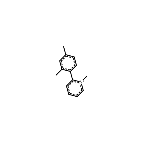 Cc1ccc(-c2cccc[n+]2C)c(C)c1